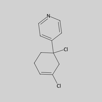 ClC1=CCCC(Cl)(c2ccncc2)C1